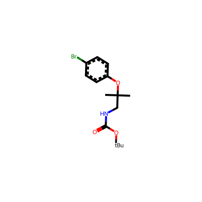 CC(C)(C)OC(=O)NCC(C)(C)Oc1ccc(Br)cc1